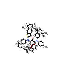 CC(C)(C)c1ccc(N2c3cc4c(cc3B3c5c2cc(C(C)(C)C)cc5N(c2ccc5c(c2)C(C)(C)CCC5(C)C)c2sc5cc6c(cc5c23)C(C)(C)CCC6(C)C)C(C)(C)CCC4(C)C)c(-c2ccc([Si](C)(C)C)cc2)c1